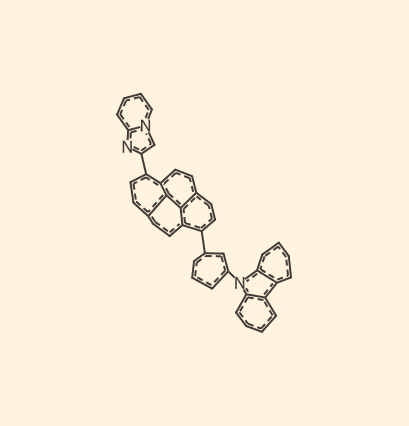 c1cc(-c2ccc3ccc4c(-c5cn6ccccc6n5)ccc5ccc2c3c54)cc(-n2c3ccccc3c3ccccc32)c1